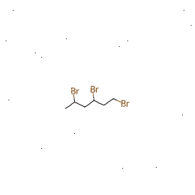 CC(Br)CC(Br)CCBr